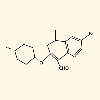 CC1CC(O[C@H]2CC[C@@H](C)CC2)=C(C=O)c2ccc(Br)cc21